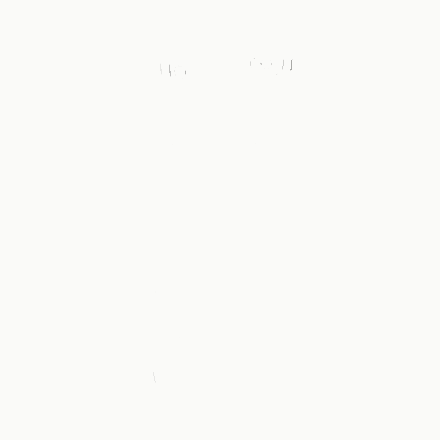 O=C(O)c1cc(Cc2ccc(F)cc2)ccc1O